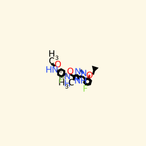 CCC(=O)N[C@H]1CC[C@@H](NC(=O)c2c(C)[nH]c3c(-c4cc(F)ccc4OCC4CC4)ncnc23)[C@H](F)C1